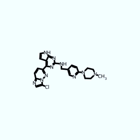 CN1CCN(c2ccc(CNc3nc(-c4ccc5ncc(Cl)n5n4)c4cc[nH]c4n3)cn2)CC1